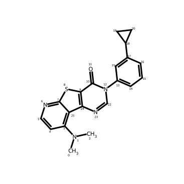 CN(C)c1ccnc2sc3c(=O)n(-c4cccc(C5CC5)c4)cnc3c12